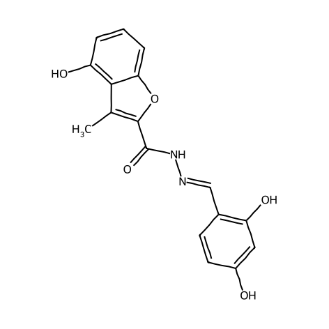 Cc1c(C(=O)NN=Cc2ccc(O)cc2O)oc2cccc(O)c12